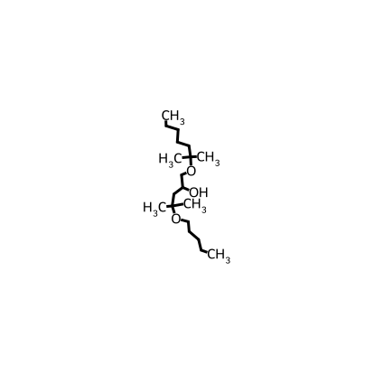 CCCCCOC(C)(C)CC(O)COC(C)(C)CCCCC